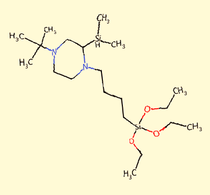 CCO[Si](CCCCN1CCN(C(C)(C)C)CC1[SiH](C)C)(OCC)OCC